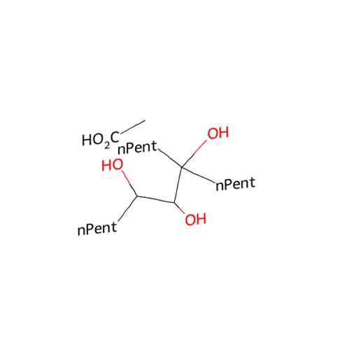 CC(=O)O.CCCCCC(O)C(O)C(O)(CCCCC)CCCCC